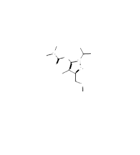 CSCc1nn(C(C)C)c(OC(=O)N(C)C)c1C